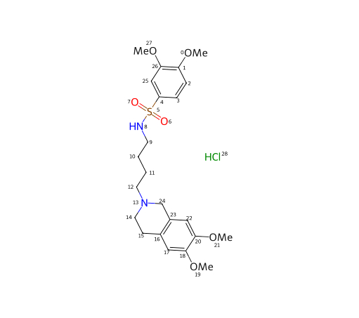 COc1ccc(S(=O)(=O)NCCCCN2CCc3cc(OC)c(OC)cc3C2)cc1OC.Cl